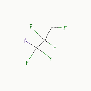 FCC(F)(F)C(F)(F)I